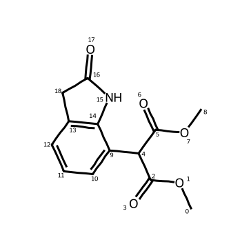 COC(=O)C(C(=O)OC)c1cccc2c1NC(=O)C2